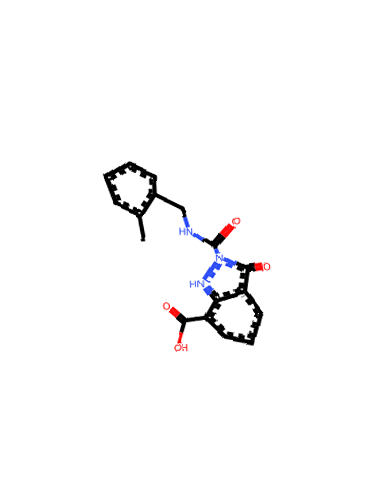 Cc1ccccc1CNC(=O)n1[nH]c2c(C(=O)O)cccc2c1=O